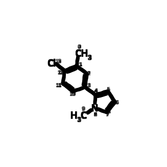 Cc1cc(-c2cc[c]n2C)ccc1Cl